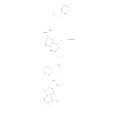 CN(CCCNC(=O)c1ccc2nc3c(c(SCC=N)c2c1)CCC(CN(CCCNC(=O)c1ccc2nc4c(c(S)c2c1)CCCC4)Cc1ccccc1)C3)Cc1ccccc1